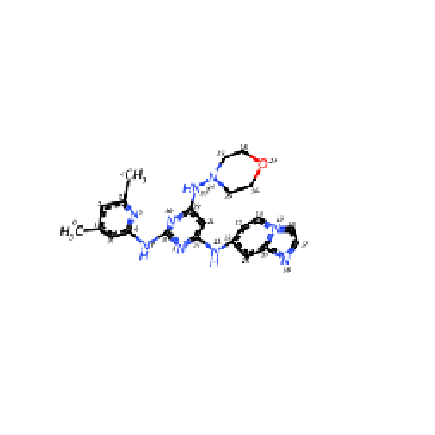 Cc1cc(C)nc(Nc2nc(Nc3ccn4ccnc4c3)cc(NN3CCOCC3)n2)c1